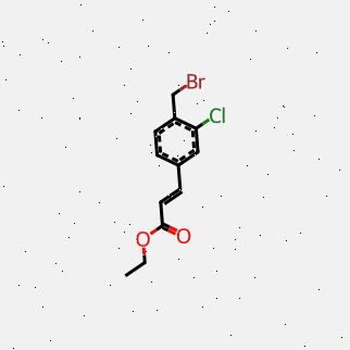 CCOC(=O)C=Cc1ccc(CBr)c(Cl)c1